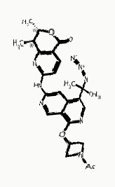 CC(=O)N1CC(Oc2ncc(C(C)(C)N=[N+]=[N-])c3cc(Nc4ccc5c(n4)[C@@H](C)[C@H](C)OC5=O)ncc23)C1